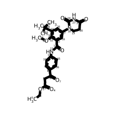 CCOC(=O)CC(=O)c1ccc(NC(=O)c2cc(N3CCC(=O)NC3=O)cc(C(C)(C)C)c2OC)cc1